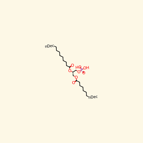 CCCCCCCCCCCCCCCCCCC(=O)O[C@H](COC(=O)CCCCCCCCCCCCCCCC)COP(=O)(O)O